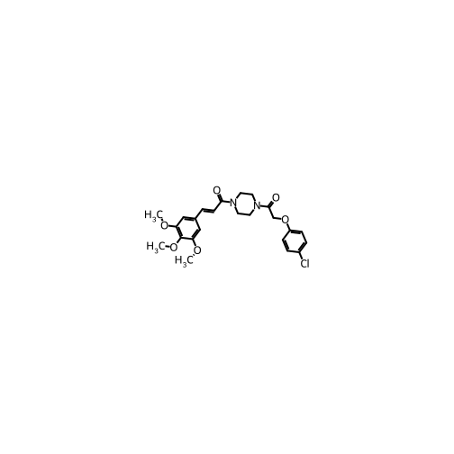 COc1cc(C=CC(=O)N2CCN(C(=O)COc3ccc(Cl)cc3)CC2)cc(OC)c1OC